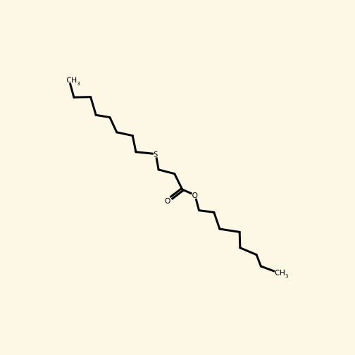 CCCCCCCCOC(=O)CCSCCCCCCCC